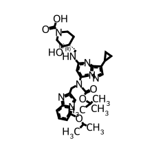 CC(C)Oc1cccc2nc(CN(C(=O)OC(C)(C)C)c3cc(NC[C@H]4CCN(C(=O)O)C[C@@H]4O)nc4c(C5CC5)cnn34)cn12